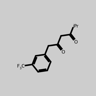 CC(C)C(=O)CC(=O)Cc1cccc(C(F)(F)F)c1